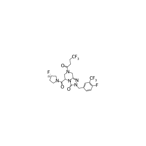 O=C(CCC(F)(F)F)N1Cc2nn(Cc3ccc(F)c(C(F)(F)F)c3)c(=O)n2C(C(=O)N2CC[C@H](F)C2)C1